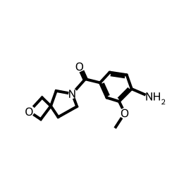 COc1cc(C(=O)N2CCC3(COC3)C2)ccc1N